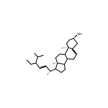 CCC(/C=C/[C@@H](C)C1CCC2C3CC=C4C[C@H](O)CC[C@]4(C)C3CC[C@@]21C)C(C)C